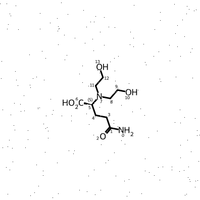 NC(=O)CC[C@@H](C(=O)O)N(CCO)CCO